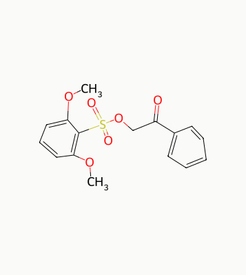 COc1cccc(OC)c1S(=O)(=O)OCC(=O)c1ccccc1